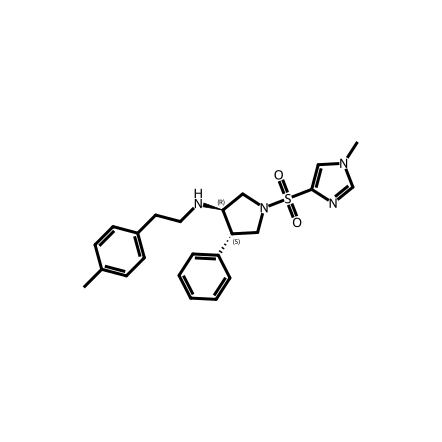 Cc1ccc(CCN[C@H]2CN(S(=O)(=O)c3cn(C)cn3)C[C@@H]2c2ccccc2)cc1